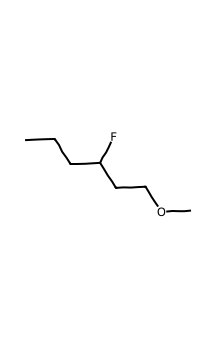 CCCC(F)CCOC